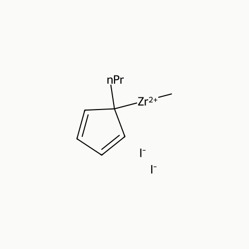 CCC[C]1([Zr+2][CH3])C=CC=C1.[I-].[I-]